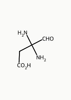 NC(N)(C=O)CC(=O)O